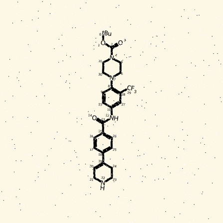 CC(C)(C)OC(=O)N1CCN(c2ccc(NC(=O)c3ccc(C4=CCNCC4)cc3)cc2C(F)(F)F)CC1